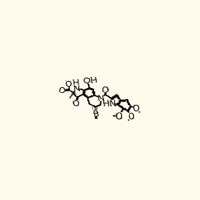 C=B[C@H]1Cc2c(cc(O)c3c2C(=O)[C@](C)(C(=O)OC)N3)N(C(=O)c2cc3cc(OC)c(OC)c(OC)c3[nH]2)C1